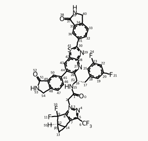 O=C(Cn1nc(C(F)(F)F)c2c1C(F)(F)[C@@H]1CC21)N[C@@H](Cc1cc(F)cc(F)c1)c1nc2nc(-c3ccc4c(c3)C(=O)NC4)sc2cc1-c1ccc2c(c1)C(=O)NC2